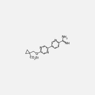 CCOC(=O)C1(COc2cnc(-c3ccc(C(=N)N)nc3)cn2)CC1